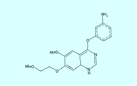 COCCOC1=CC2NC=NC(Oc3cccc(N)c3)=C2C=C1OC